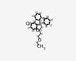 CCOCCC(=O)C[P+](c1ccccc1)(c1ccccc1)c1ccccc1.[Cl-]